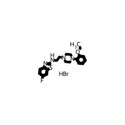 Br.CCOc1ccccc1N1CCN(CCNc2nc3ccc(F)cc3s2)CC1